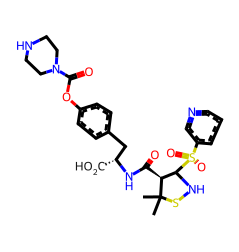 CC1(C)SNC(S(=O)(=O)c2cccnc2)[C@@H]1C(=O)N[C@@H](Cc1ccc(OC(=O)N2CCNCC2)cc1)C(=O)O